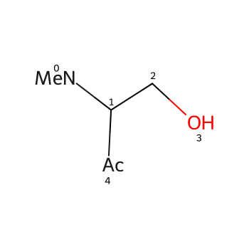 CNC(CO)C(C)=O